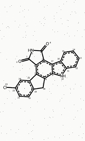 O=C1NC(=O)c2c1c1c(c3[nH]c4ccccc4c23)Cc2ccc(Cl)cc2-1